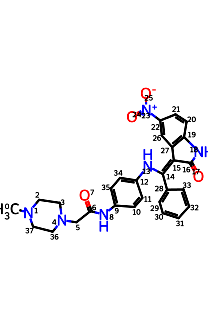 CN1CCN(CC(=O)Nc2ccc(NC(=C3C(=O)Nc4ccc([N+](=O)[O-])cc43)c3ccccc3)cc2)CC1